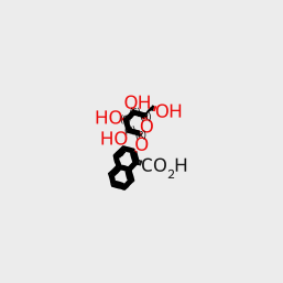 O=C(O)c1c(O[C@H]2O[C@H](CO)[C@@H](O)[C@H](O)[C@H]2O)ccc2ccccc12